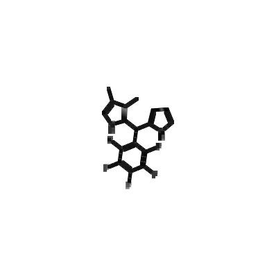 Cc1c[nH]c(C(c2ccc[nH]2)c2c(F)c(F)c(F)c(F)c2F)c1C